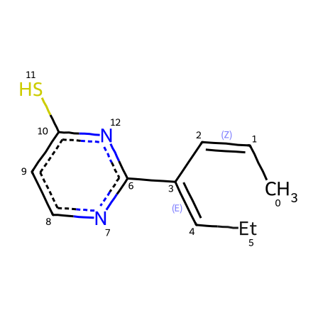 C/C=C\C(=C/CC)c1nccc(S)n1